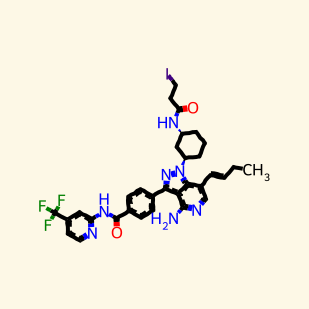 CC/C=C/c1cnc(N)c2c(-c3ccc(C(=O)Nc4cc(C(F)(F)F)ccn4)cc3)nn([C@@H]3CCC[C@@H](NC(=O)CCI)C3)c12